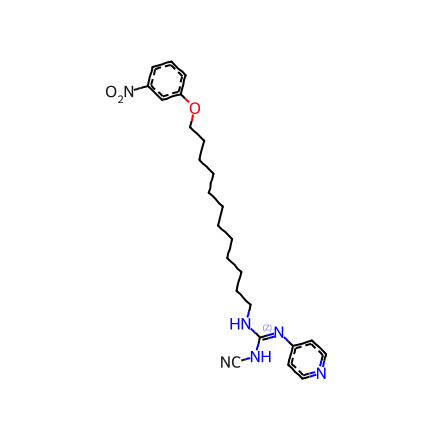 N#CN/C(=N\c1ccncc1)NCCCCCCCCCCCCOc1cccc([N+](=O)[O-])c1